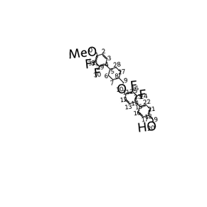 COc1ccc(C2CCC(COc3ccc(-c4ccc(CO)cc4)c(F)c3F)CC2)c(F)c1F